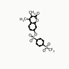 Cc1c(C)c2ccc(OS(=O)(=O)c3ccc(S(=O)(=O)C(F)(F)F)cc3)cc2oc1=O